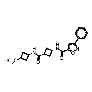 O=C(N[C@H]1C[C@H](C(=O)N[C@H]2C[C@H](C(=O)O)C2)C1)c1cc(-c2ccccc2)no1